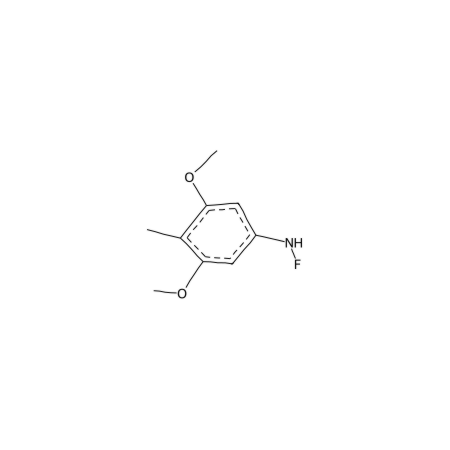 COc1cc(NF)cc(OC)c1C